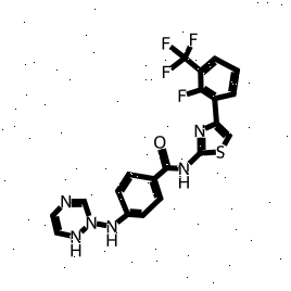 O=C(Nc1nc(-c2cccc(C(F)(F)F)c2F)cs1)c1ccc(NN2C=NC=CN2)cc1